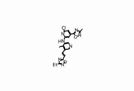 CCc1noc(/C=C/c2cncc(Nc3cc(-c4nc(C)no4)cc(Cl)n3)c2C)n1